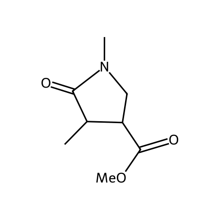 COC(=O)C1CN(C)C(=O)C1C